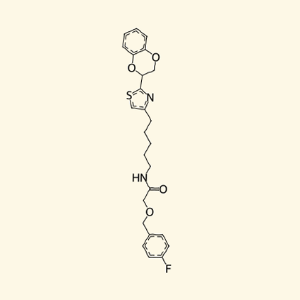 O=C(COCc1ccc(F)cc1)NCCCCCc1csc(C2COc3ccccc3O2)n1